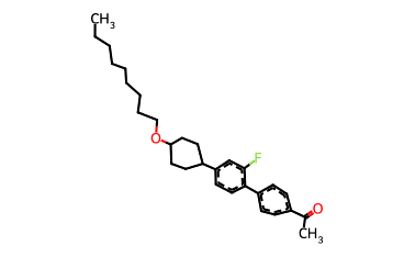 CCCCCCCCCOC1CCC(c2ccc(-c3ccc(C(C)=O)cc3)c(F)c2)CC1